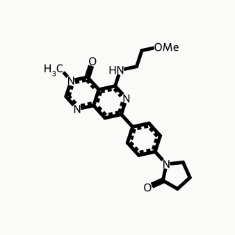 COCCNc1nc(-c2ccc(N3CCCC3=O)cc2)cc2ncn(C)c(=O)c12